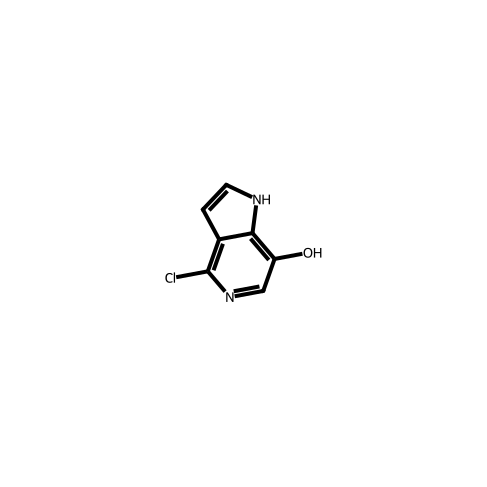 Oc1cnc(Cl)c2cc[nH]c12